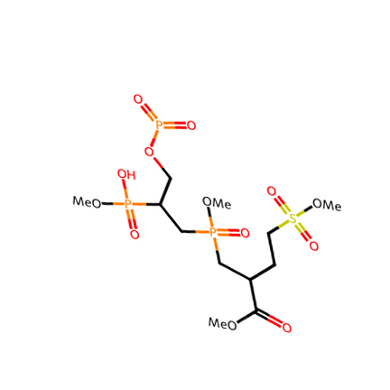 COC(=O)C(CCS(=O)(=O)OC)CP(=O)(CC(COP(=O)=O)P(=O)(O)OC)OC